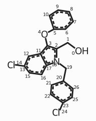 OCc1c(Oc2ccccc2)c2cc(Cl)ccc2n1Cc1ccc(Cl)cc1